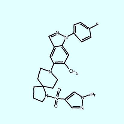 CCCn1cc(S(=O)(=O)N2CCCC23CCN(c2cc4cnn(-c5ccc(F)cc5)c4cc2C)CC3)cn1